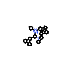 c1ccc(-c2nc(-c3cc(-c4ccc5c6ccccc6c6ccccc6c5c4)cc(-n4c5ccccc5c5ccccc54)c3)nc(-c3ccc4c(c3)C3(c5ccccc5-c5ccccc53)c3ccccc3-4)n2)cc1